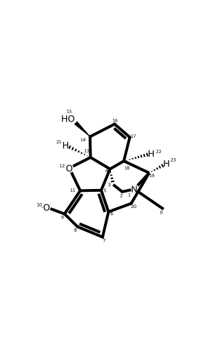 CN1CC[C@]23c4c5ccc([O])c4O[C@H]2[C@@H](O)C=C[C@H]3[C@H]1C5